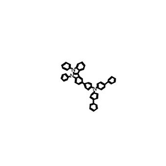 c1ccc(-c2ccc(N(c3ccc(-c4ccccc4)cc3)c3ccc(-c4ccc5c(c4)c4c6ccccc6n(-c6ccccc6)c4n5-c4ccccc4)cc3)cc2)cc1